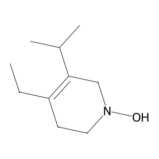 CCC1=C(C(C)C)CN(O)CC1